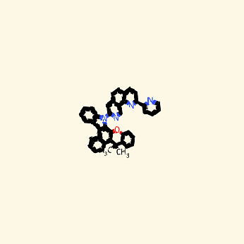 CC1(C)c2ccccc2Oc2c1c1ccccc1c1c3ccccc3n(-c3cc4ccc5ccc(-c6ccccn6)nc5c4cn3)c21